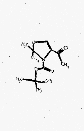 CC(=O)[C@@H]1COC(C)(C)N1C(=O)OC(C)(C)C